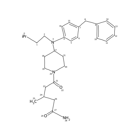 CC(C)CCN(c1ccc(Cc2ccccc2)cc1)C1CCN(C(=O)CC(C)CC(N)=O)CC1